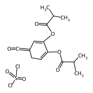 CC(C)C(=O)OC1=CCC(=C=O)C=C1OC(=O)C(C)C.O=S(=O)(Cl)Cl